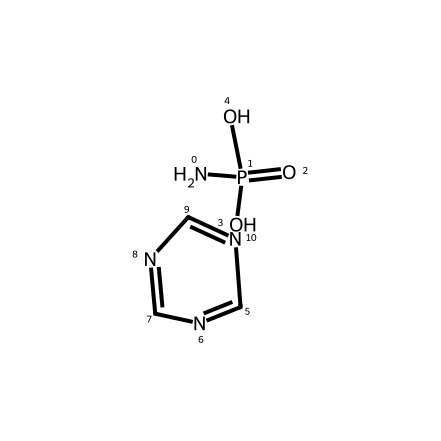 NP(=O)(O)O.c1ncncn1